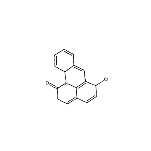 CCC1C=CC2=CCC(=O)N3C2=C1C=C1C=CC=CC13